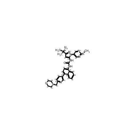 CSc1ncc(-n2nc(C(C)(C)C)cc2NC(=O)Nc2ccc(-c3ccc(CN4CCOCC4)nc3)c3ccccc23)cn1